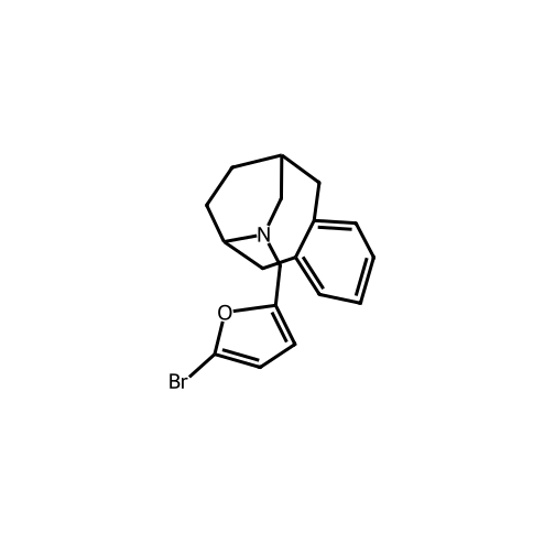 Brc1ccc(CN2CC3CCC2Cc2ccccc2C3)o1